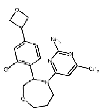 Cc1cc(N2CCCOCC2c2ccc(C3COC3)cc2Cl)nc(N)n1